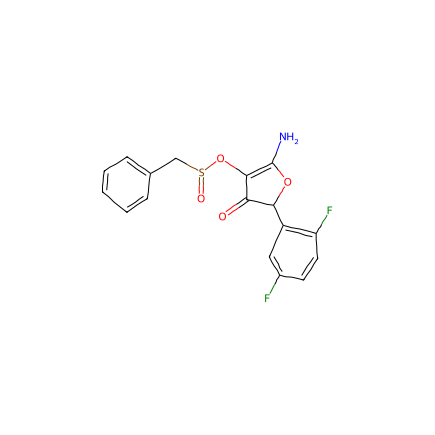 NC1=C(OS(=O)Cc2ccccc2)C(=O)C(c2cc(F)ccc2F)O1